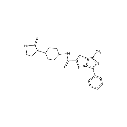 Cc1nn(-c2ccccc2)c2sc(C(=O)NC3CCC(N4CCNC4=O)CC3)cc12